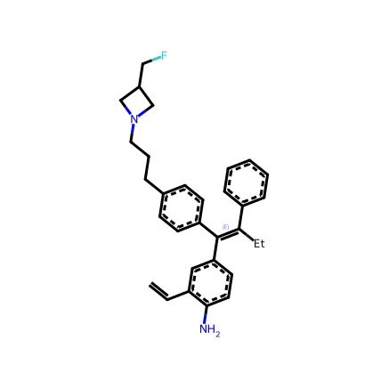 C=Cc1cc(/C(=C(\CC)c2ccccc2)c2ccc(CCCN3CC(CF)C3)cc2)ccc1N